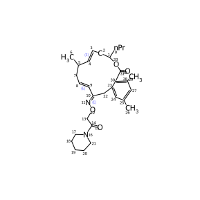 CCCC1C/C=C/C(C)C/C=C/C(=N/OCC(=O)N2CCCCC2)Cc2cc(C)cc(C)c2C(=O)O1